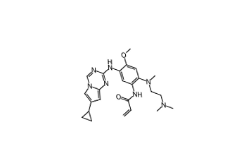 C=CC(=O)Nc1cc(Nc2ncn3cc(C4CC4)cc3n2)c(OC)cc1N(C)CCN(C)C